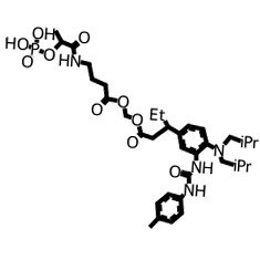 CCC(CC(=O)OCOC(=O)CCCNC(=O)C(C)OP(=O)(O)O)c1ccc(N(CC(C)C)CC(C)C)c(NC(=O)Nc2ccc(C)cc2)c1